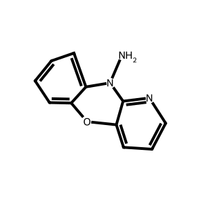 NN1c2ccccc2Oc2cccnc21